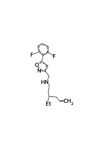 C=CCC(CC)CCNCc1cc(-c2c(F)cccc2F)on1